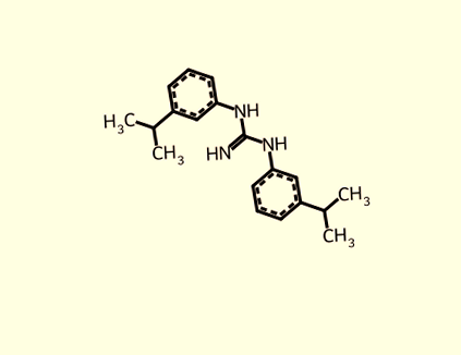 CC(C)c1cccc(NC(=N)Nc2cccc(C(C)C)c2)c1